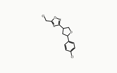 ClCc1nc(C2COC(c3ccc(Cl)cc3)C2)no1